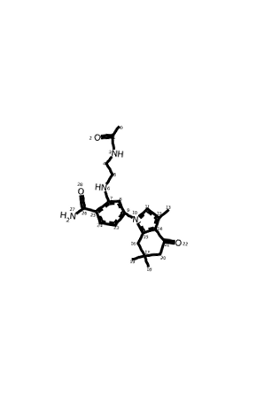 [CH2]C(=O)NCCNc1cc(-n2cc(C)c3c2CC(C)(C)CC3=O)ccc1C(N)=O